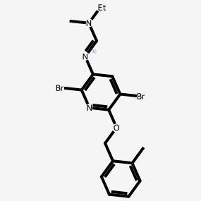 CCN(C)/C=N/c1cc(Br)c(OCc2ccccc2C)nc1Br